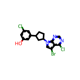 Oc1cc(Cl)cc(C2CCC(n3cc(Br)c4c(Cl)ncnc43)C2)c1